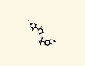 COc1ncc(-c2nc(NC(=O)C3(c4ccc5c(c4)OC(F)(F)O5)CC3)ccc2C)c(C)n1